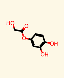 O=C(CO)Oc1ccc(O)c(O)c1